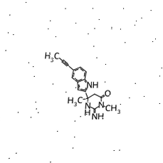 CC#Cc1ccc2[nH]c(C3(C)CC(=O)N(C)C(=N)N3)cc2c1